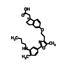 CCCCNc1cc(-c2nc(CCOc3ccc4c(c3)CC[C@H]4CC(=O)O)c(C)o2)ccc1C